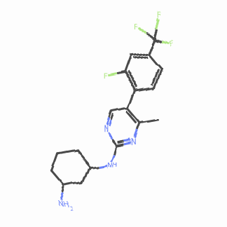 Cc1nc(NC2CCCC(N)C2)ncc1-c1ccc(C(F)(F)F)cc1F